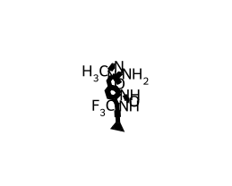 Cc1cnc(N)c(=O)n1Cc1ccc2c(c1)NC(=O)NC2(C#CC1CC1)C(F)(F)F